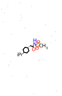 CC(C)[C@H]1CC[C@H](CC(=O)NS(C)(=O)=O)CC1